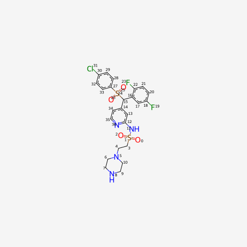 O=S(=O)(CCN1CCNCC1)Nc1cc(C(c2cc(F)ccc2F)S(=O)(=O)c2ccc(Cl)cc2)ccn1